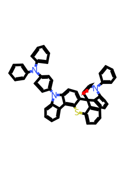 c1ccc(N(c2ccccc2)c2ccc(-n3c4ccccc4c4c5c(ccc43)C3(c4ccccc4S5)c4ccccc4N(c4ccccc4)c4ccccc43)cc2)cc1